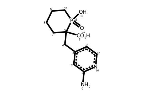 Nc1cc(CC2(C(=O)O)CCCCP2(=O)O)ccn1